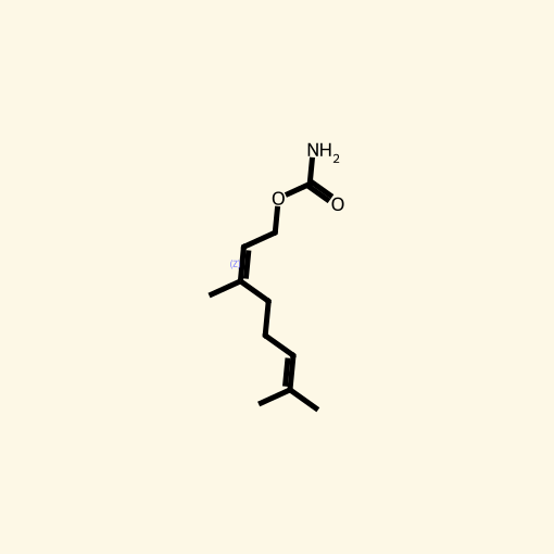 CC(C)=CCC/C(C)=C\COC(N)=O